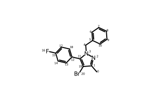 Cc1nn(Cc2ccccc2)c(-c2ccc(F)cc2)c1Br